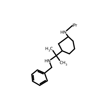 CC(C)NC1CCCC(C(C)(C)NCc2ccccc2)C1